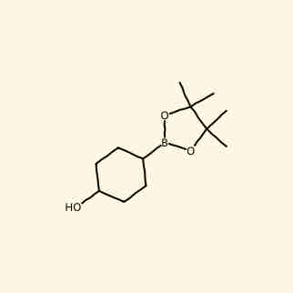 CC1(C)OB(C2CCC(O)CC2)OC1(C)C